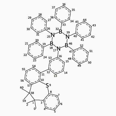 CC1(C)c2ccccc2Sc2c(-c3cccc(N4B(c5ccccc5)N(c5ccccc5)B(c5ccccc5)N(c5ccccc5)B4c4ccccc4)c3)cccc2C1(C)C